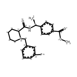 COC(=O)c1ccc([C@H](C)NC(=O)C2CCCCN2Cc2cccc(F)c2)cc1